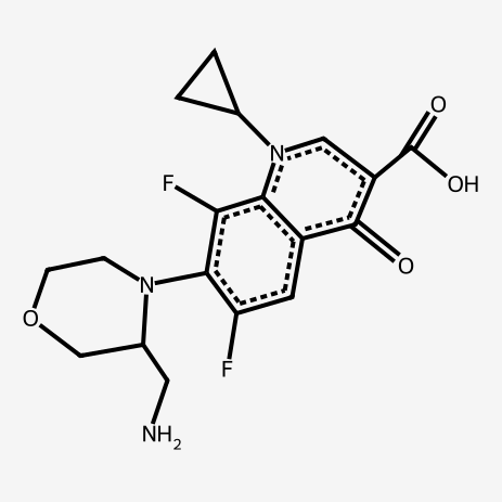 NCC1COCCN1c1c(F)cc2c(=O)c(C(=O)O)cn(C3CC3)c2c1F